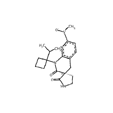 CC(C)C1(N2C(=O)[C@@]3(CCNC3=O)Cc3cnc([S+](C)[O-])nc32)CCC1